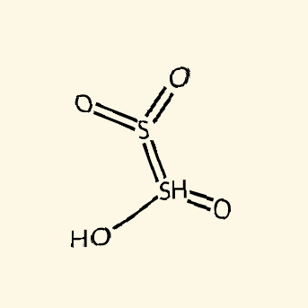 O=S(=O)=[SH](=O)O